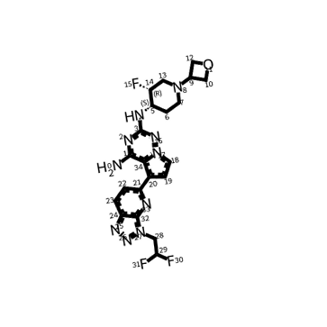 Nc1nc(N[C@H]2CCN(C3COC3)C[C@H]2F)nn2ccc(-c3ccc4nnn(CC(F)F)c4n3)c12